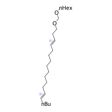 CCCC/C=C/CCCCCCCC/C=C/CCOCOCCCCCC